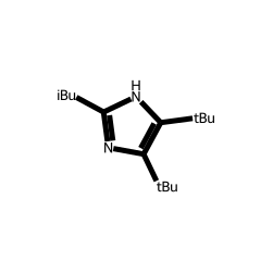 CCC(C)c1nc(C(C)(C)C)c(C(C)(C)C)[nH]1